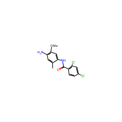 COc1cc(NC(=O)c2ccc(Cl)cc2Cl)c(C)cc1N